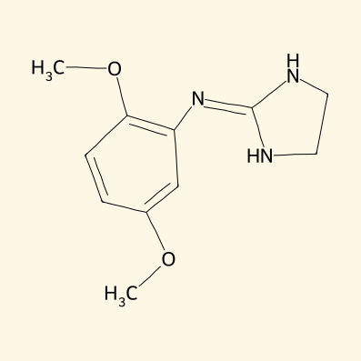 COc1ccc(OC)c(N=C2NCCN2)c1